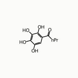 CCCC(=O)c1cc(O)c(O)c(O)c1O